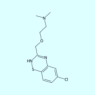 CN(C)CCOCC1=Nc2cc(Cl)ccc2SN1